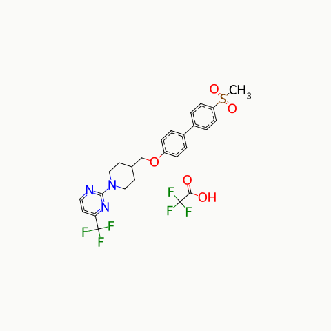 CS(=O)(=O)c1ccc(-c2ccc(OCC3CCN(c4nccc(C(F)(F)F)n4)CC3)cc2)cc1.O=C(O)C(F)(F)F